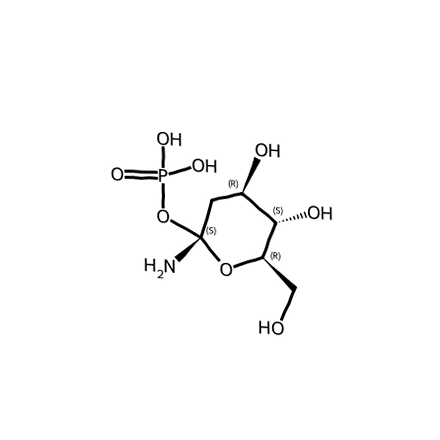 N[C@@]1(OP(=O)(O)O)C[C@@H](O)[C@H](O)[C@@H](CO)O1